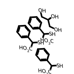 O=C(O)C(S)c1ccccc1.O=C(O)C(S)c1ccccc1.O=C(O)C(S)c1ccccc1.OCC(O)CO